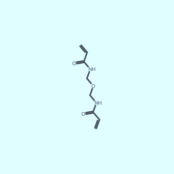 C=CC(=O)NCOCNC(=O)C=C